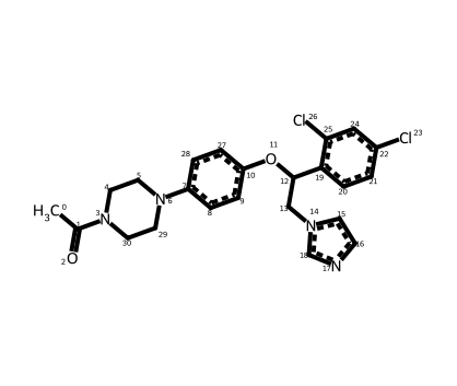 CC(=O)N1CCN(c2ccc(OC(Cn3ccnc3)c3ccc(Cl)cc3Cl)cc2)CC1